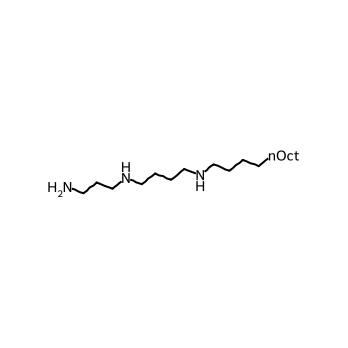 CCCCCCCCCCCCNCCCCNCCCN